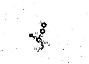 N/C=C\C=C(/N)N1CCC(NSC2CCC2)C(CO[C@H]2CC[C@@H](c3cccc(F)c3)CC2)C1